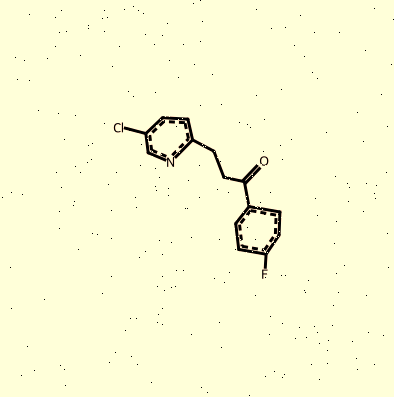 O=C(CCc1ccc(Cl)cn1)c1ccc(F)cc1